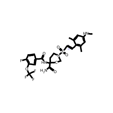 CNc1cc(C)c(/C=C/S(=O)(=O)N2CCC(NC(=O)c3ccc(F)c(OC(F)(F)F)c3)(C(N)=O)CC2)c(C)c1